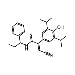 CCC(NC(=S)/C(=C/C#N)c1cc(C(C)C)c(O)c(C(C)C)c1)c1ccccc1